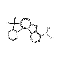 CCC1(CC)c2ccccc2-c2c1ccc1oc3c(B(O)O)cccc3c21